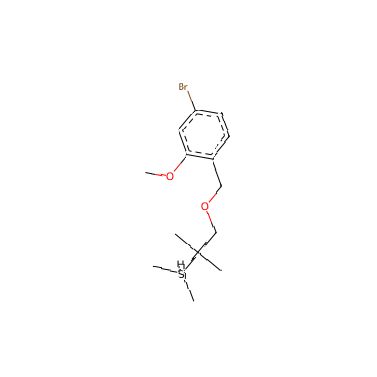 COc1cc(Br)ccc1COCC(C)(C)[SiH](C)C